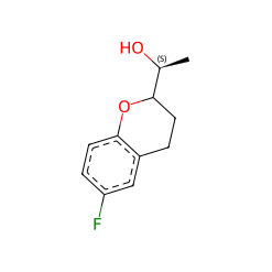 C[C@H](O)C1CCc2cc(F)ccc2O1